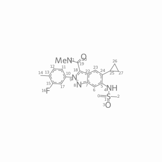 C=S(C)(=O)Nc1cc2nn(-c3ccc(C)c(F)c3)c(C(=O)NC)c2cc1C1CC1